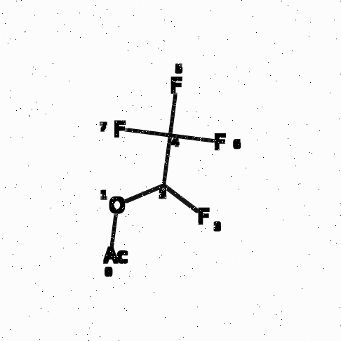 CC(=O)OC(F)C(F)(F)F